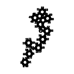 c1ccc(-c2ccc(N(c3ccccc3)c3cccc(-c4ccc(-c5cccc6c5oc5ccc7c(c56)-c5ccccc5C75c6ccccc6-c6ccccc65)cc4)c3)cc2)cc1